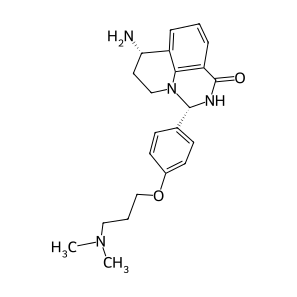 CN(C)CCCOc1ccc([C@H]2NC(=O)c3cccc4c3N2CC[C@@H]4N)cc1